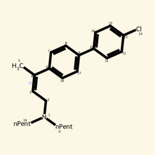 CCCCCN(C/C=C(/C)c1ccc(-c2ccc(Cl)cc2)cc1)CCCCC